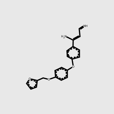 N=C/C=C(\N)c1ccc(Oc2ccc(OCc3ccco3)cc2)cc1